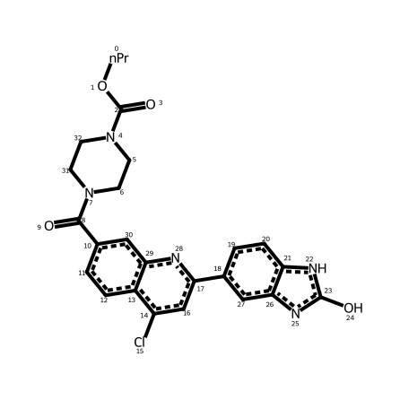 CCCOC(=O)N1CCN(C(=O)c2ccc3c(Cl)cc(-c4ccc5[nH]c(O)nc5c4)nc3c2)CC1